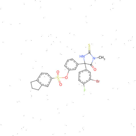 CN1C(=O)C(c2cccc(OS(=O)(=O)c3ccc4c(c3)CCC4)c2)(c2ccc(F)c(Br)c2)NC1=S